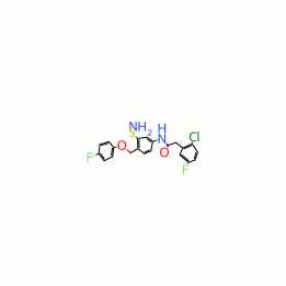 NSc1cc(NC(=O)Cc2cc(F)ccc2Cl)ccc1COc1ccc(F)cc1